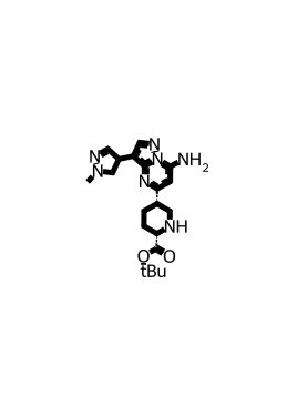 CN1CC(c2cnn3c(N)cc([C@H]4CC[C@@H](C(=O)OC(C)(C)C)NC4)nc23)C=N1